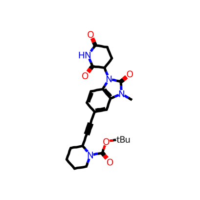 Cn1c(=O)n(C2CCC(=O)NC2=O)c2ccc(C#CC3CCCCN3C(=O)OC(C)(C)C)cc21